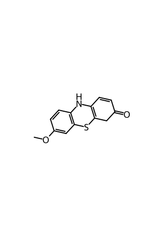 COc1ccc2c(c1)SC1=C(C=CC(=O)C1)N2